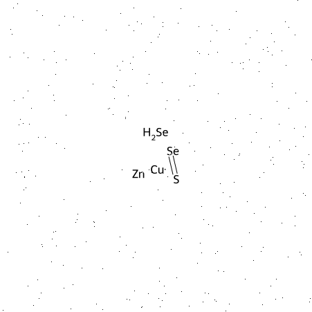 S=[Se].[Cu].[SeH2].[Zn]